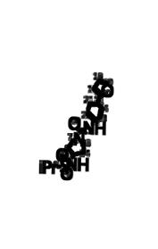 CC(C)S(=O)(=O)NC1CCN(C(=O)Nc2ccc(-c3ccco3)cc2)CC1